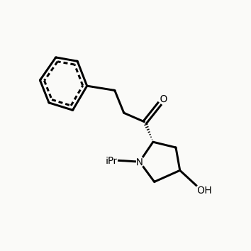 CC(C)N1CC(O)C[C@H]1C(=O)CCc1ccccc1